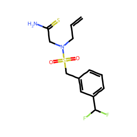 C=CCN(CC(N)=S)S(=O)(=O)Cc1cccc(C(F)F)c1